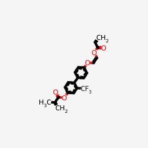 C=CC(=O)O/C=C\Oc1ccc(-c2ccc(OC(=O)C(=C)C)cc2C(F)(F)F)cc1